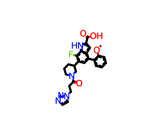 COc1ccccc1-c1cc(C2CCCN(C(=O)CCn3ccnn3)C2)c(F)c2[nH]c(C(=O)O)cc12